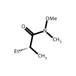 CC[C@@H](C)C(=O)N(C)OC